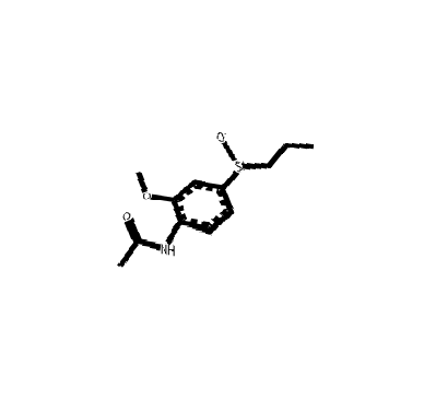 CCC[S+]([O-])c1ccc(NC(C)=O)c(OC)c1